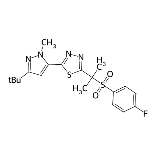 Cn1nc(C(C)(C)C)cc1-c1nnc(C(C)(C)S(=O)(=O)c2ccc(F)cc2)s1